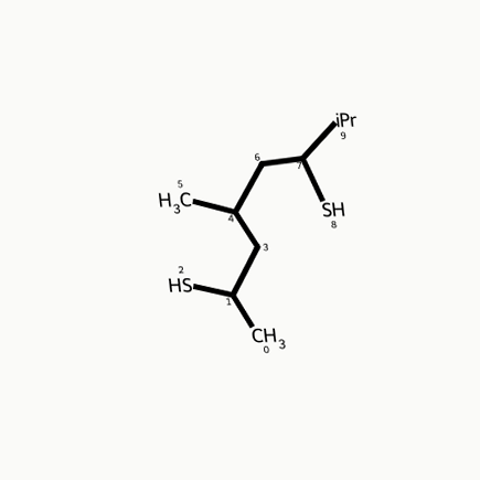 CC(S)CC(C)CC(S)C(C)C